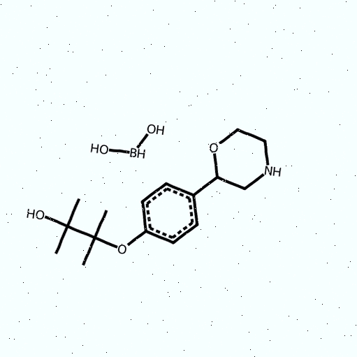 CC(C)(O)C(C)(C)Oc1ccc(C2CNCCO2)cc1.OBO